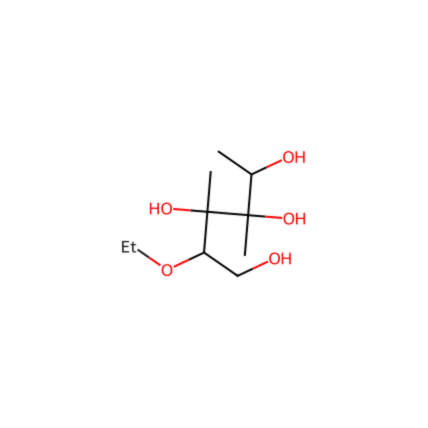 CCOC(CO)C(C)(O)C(C)(O)C(C)O